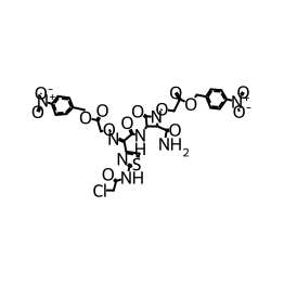 NC(=O)C1C(NC(=O)C(=NOCC(=O)OCc2ccc([N+](=O)[O-])cc2)c2csc(NC(=O)CCl)n2)C(=O)N1OCC(=O)OCc1ccc([N+](=O)[O-])cc1